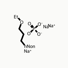 CCCCCCCCCCCCOCC.O=P([O-])([O-])[O-].[Na+].[Na+].[Na+]